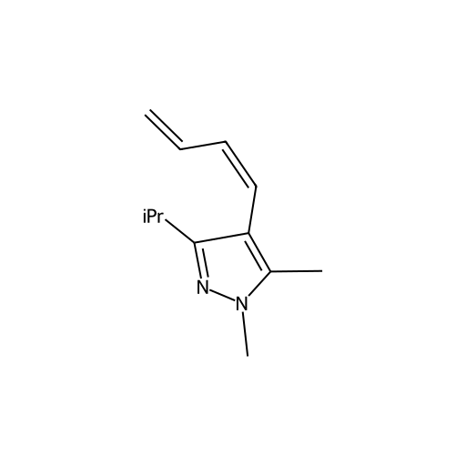 C=C/C=C\c1c(C(C)C)nn(C)c1C